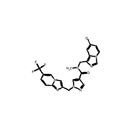 CN(Cc1ncn2ccc(Cl)cc12)C(=O)c1cnn(Cc2cn3cc(C(F)(F)F)ccc3n2)c1